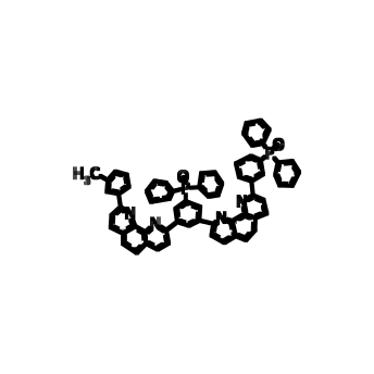 Cc1cccc(-c2ccc3ccc4ccc(-c5cc(-c6ccc7ccc8ccc(-c9cccc(P(=O)(c%10ccccc%10)c%10ccccc%10)c9)nc8c7n6)cc(P(=O)(c6ccccc6)c6ccccc6)c5)nc4c3n2)c1